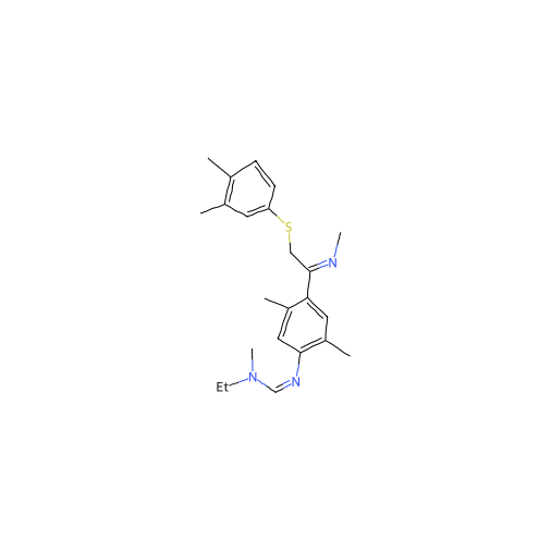 CCN(C)/C=N\c1cc(C)c(/C(CSc2ccc(C)c(C)c2)=N/C)cc1C